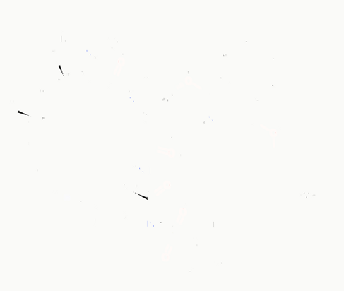 COCCOc1cnc(O[C@@H]2C[C@H]3C(=O)N[C@]4(C(=O)NS(=O)(=O)C5(C)CC5)C[C@H]4/C=C\CC[C@@H](C)C[C@@H](C)[C@H](N(C(=O)O)C(C)(C)C)C(=O)N3C2)c2ccccc12